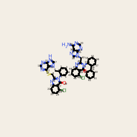 Cc1ccccc1-n1c(CSc2ncnc3[nH]cnc23)nc2cccc(Cl)c2c1=O.Nc1ncnc2c1ncn2Cc1nc2cccc(Cl)c2c(=O)n1-c1ccccc1-c1ccccc1